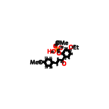 CCOc1ccc(C(=O)C=Cc2ccc(OC)cc2)c(OP(=O)(O)OOC)c1